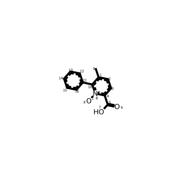 Cc1ccc(C(=O)O)[n+]([O-])c1-c1ccccc1